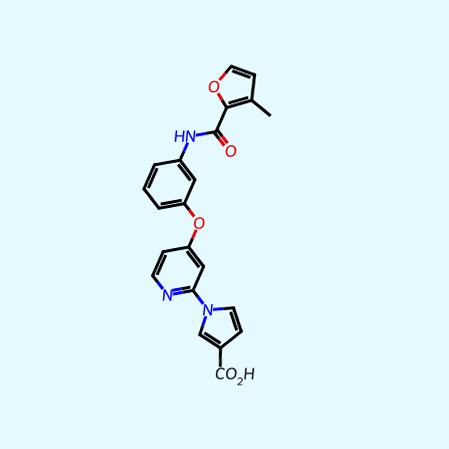 Cc1ccoc1C(=O)Nc1cccc(Oc2ccnc(-n3ccc(C(=O)O)c3)c2)c1